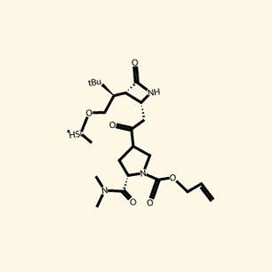 C=CCOC(=O)N1CC(C(=O)C[C@H]2NC(=O)[C@H]2[C@@H](CO[SiH](C)C)C(C)(C)C)C[C@H]1C(=O)N(C)C